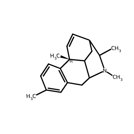 Cc1ccc2c(c1)CC1C3CC(C=C[C@@]23C)C(C)N1C